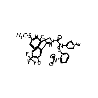 CSc1cccc(C2(C)CN(C(=O)N(Sc3ccccc3[N+](=O)[O-])c3ccc(Br)cc3)N=C2c2ccc(C(F)(F)F)c(Cl)c2)c1